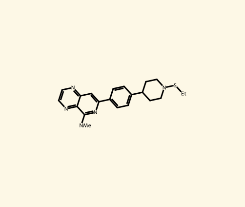 CCSN1CCC(c2ccc(-c3cc4nccnc4c(NC)n3)cc2)CC1